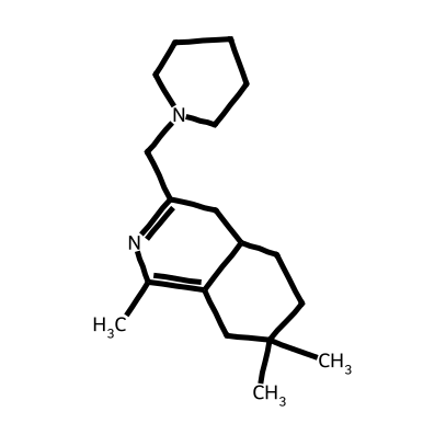 CC1=C2CC(C)(C)CCC2CC(CN2CCCCC2)=N1